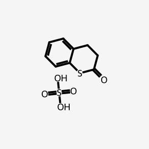 O=C1CCc2ccccc2S1.O=S(=O)(O)O